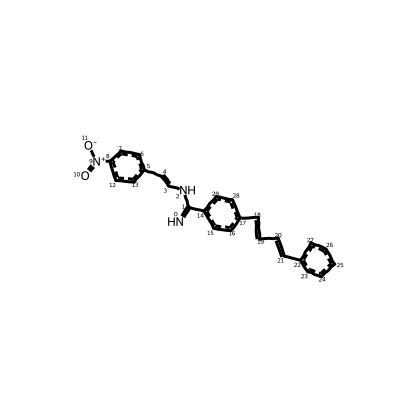 N=C(NC=Cc1ccc([N+](=O)[O-])cc1)c1ccc(C=CC=Cc2ccccc2)cc1